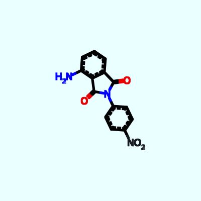 Nc1cccc2c1C(=O)N(c1ccc([N+](=O)[O-])cc1)C2=O